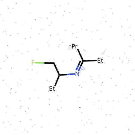 CCC/C(CC)=N\C(CC)CF